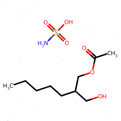 CCCCCC(CO)COC(C)=O.NS(=O)(=O)O